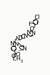 COC(=O)c1ccc2nc(CN3CC4=C(C3)CN(c3ccnc(OCc5ccc(Cl)cc5F)n3)C4)n(Cc3cncs3)c2c1